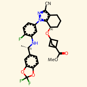 COC(=O)C12CC(O[C@@H]3CCCc4c(C#N)nn(-c5ccc(F)c(N[C@@H](C)c6ccc7c(c6)OC(F)(F)O7)c5)c43)(C1)C2